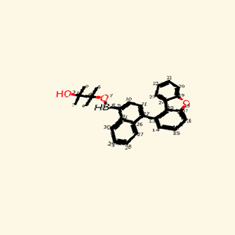 CC(C)(O)C(C)(C)OBc1ccc(-c2cccc3oc4ccccc4c23)c2ccccc12